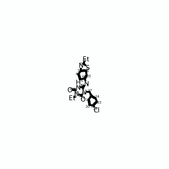 CCc1nc2ccc(/N=c3\[nH]c(=O)n(CC)c(=O)n3Cc3ccc(Cl)cc3)cc2s1